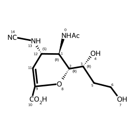 CC(=O)N[C@H]1[C@H]([C@H](O)CCO)OC(C(=O)O)=C[C@@H]1NC#N